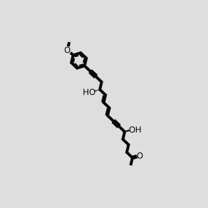 COc1ccc(C#CC[C@@H](O)/C=C/C=C/C#C[C@@H](O)CCCC(C)=O)cc1